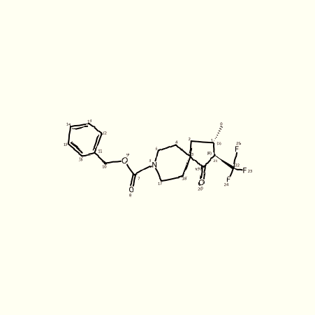 C[C@H]1CC2(CCN(C(=O)OCc3ccccc3)CC2)C(=O)[C@@H]1C(F)(F)F